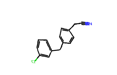 N#CCc1ccc(Cc2cccc(Cl)c2)cc1